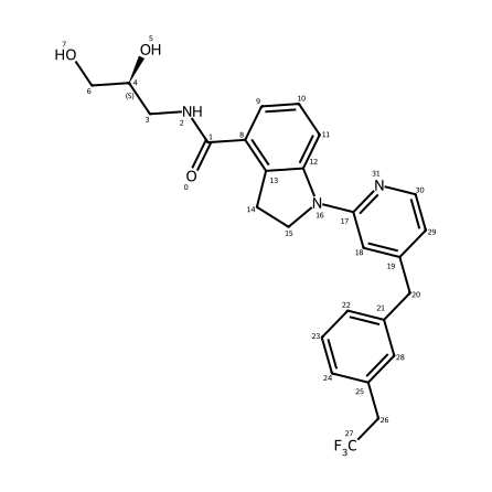 O=C(NC[C@H](O)CO)c1cccc2c1CCN2c1cc(Cc2cccc(CC(F)(F)F)c2)ccn1